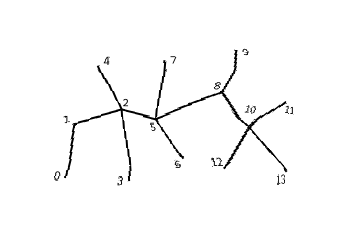 CCC(C)(C)C(C)(C)C(C)C(C)(C)C